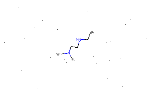 CCCN(CC)CCNCC(C)C